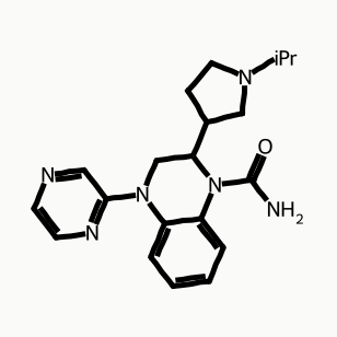 CC(C)N1CCC(C2CN(c3cnccn3)c3ccccc3N2C(N)=O)C1